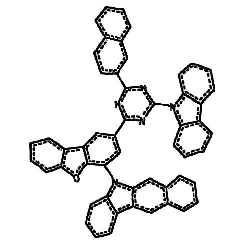 c1ccc2cc(-c3nc(-c4cc(-n5c6ccccc6c6cc7ccccc7cc65)c5oc6ccccc6c5c4)nc(-n4c5ccccc5c5ccccc54)n3)ccc2c1